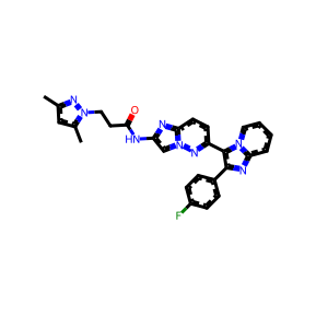 Cc1cc(C)n(CCC(=O)Nc2cn3nc(-c4c(-c5ccc(F)cc5)nc5ccccn45)ccc3n2)n1